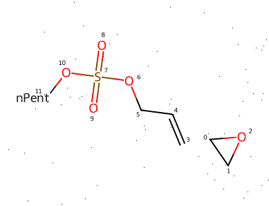 C1CO1.C=CCOS(=O)(=O)OCCCCC